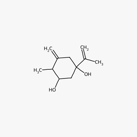 C=C1CC(O)(C(=C)C)CC(O)C1C